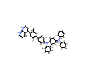 Cc1cc(-c2ccnc3ncccc23)c(C)cc1-c1ccc(-n2c3ccccc3c3cc(N(c4ccccc4)c4ccccc4)ccc32)cc1